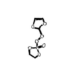 O=P1(OOC2OC=CO2)OCCO1